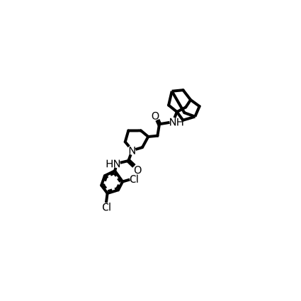 O=C(CC1CCCN(C(=O)Nc2ccc(Cl)cc2Cl)C1)NC12CC3CC(CC(C3)C1)C2